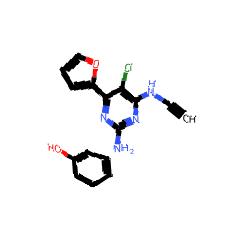 C#CNc1nc(N)nc(-c2ccco2)c1Cl.Oc1ccccc1